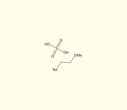 COC[CH2][Na].O=S(=O)(O)O